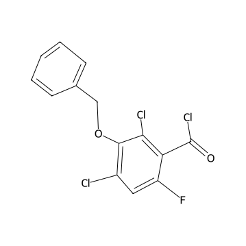 O=C(Cl)c1c(F)cc(Cl)c(OCc2ccccc2)c1Cl